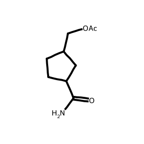 CC(=O)OCC1CCC(C(N)=O)C1